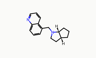 c1cc(CN2CC[C@H]3CCC[C@H]32)c2cccnc2c1